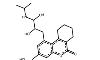 Cc1cc(CC(O)C(O)NC(C)C)c2c3c(c(=O)oc2c1)CCCC3.Cl